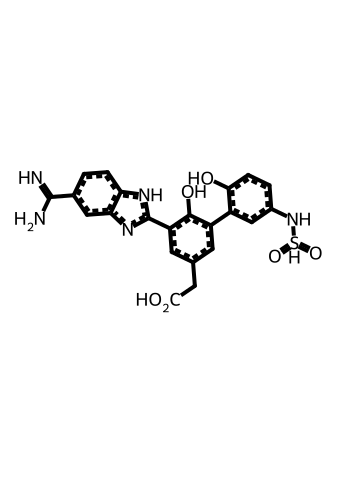 N=C(N)c1ccc2[nH]c(-c3cc(CC(=O)O)cc(-c4cc(N[SH](=O)=O)ccc4O)c3O)nc2c1